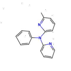 Cc1cccc(N(c2ccccc2)c2ccccn2)n1